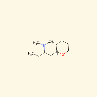 CCC(C[SiH]1CCCCO1)N(C)C